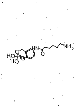 NCCCCCC(=O)Nc1ccc2c(c1)CO[PH](O)(O)O2